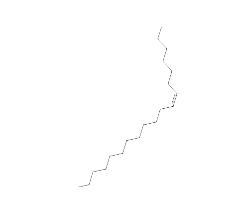 CCCCCC/C=C\CCCCCCCCCCO